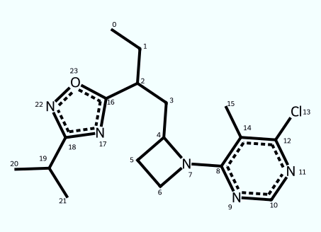 CCC(CC1CCN1c1ncnc(Cl)c1C)c1nc(C(C)C)no1